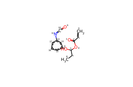 C=CC(=O)OC(O)CC.O=C=Nc1ccccc1